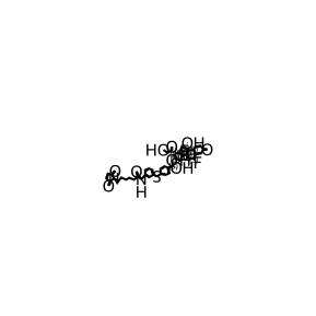 C[C@]12C[C@H](O)[C@@]3(F)[C@@H](C[C@H](F)C4=CC(=O)C=C[C@@]43C)[C@@H]1C[C@@H](O[C@H](O)c1ccc(Sc3cccc(NC(=O)CCCCCN4C(=O)C=CC4=O)c3)cc1)[C@@H]2C(=O)CO